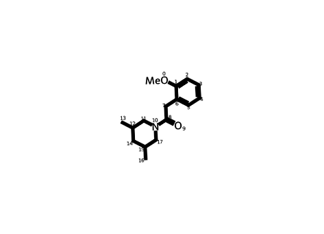 COc1ccccc1CC(=O)N1CC(C)CC(C)C1